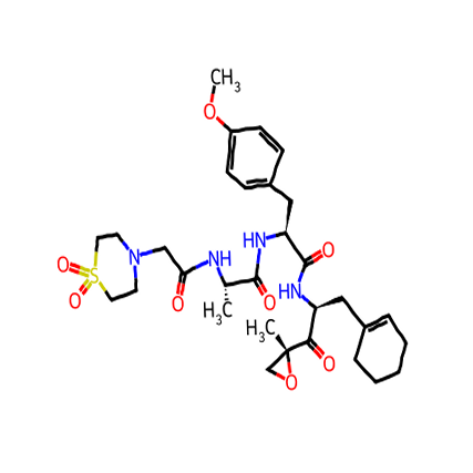 COc1ccc(C[C@H](NC(=O)[C@H](C)NC(=O)CN2CCS(=O)(=O)CC2)C(=O)N[C@@H](CC2=CCCCC2)C(=O)[C@@]2(C)CO2)cc1